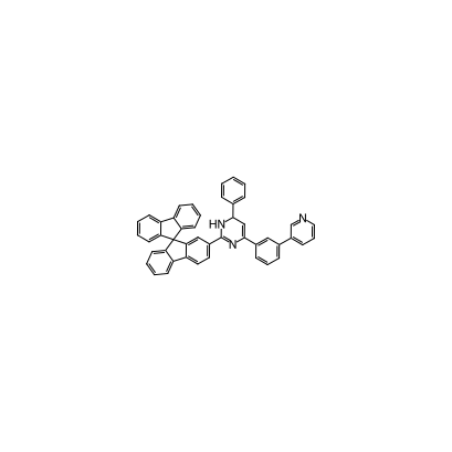 C1=C(c2cccc(-c3cccnc3)c2)N=C(c2ccc3c(c2)C2(c4ccccc4-c4ccccc42)c2ccccc2-3)NC1c1ccccc1